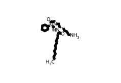 CCCCCCCCCCCC(=O)N[C@@H](CCCCN)CN1CC(=O)N(C2CCCCC2)C1=O